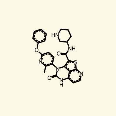 Cc1nc(Oc2ccccc2)ccc1N1C(=O)Nc2ccnc3sc(C(=O)NC4CCCNC4)c1c23